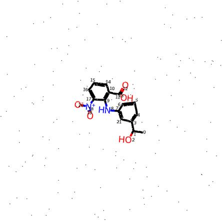 CC(O)c1cccc(Nc2c(C(=O)O)cccc2[N+](=O)[O-])c1